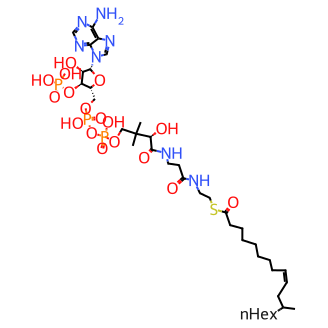 CCCCCCC(C)C/C=C\CCCCCCCC(=O)SCCNC(=O)CCNC(=O)[C@H](O)C(C)(C)COP(=O)(O)OP(=O)(O)OC[C@H]1O[C@@H](n2cnc3c(N)ncnc32)[C@H](O)[C@@H]1OP(=O)(O)O